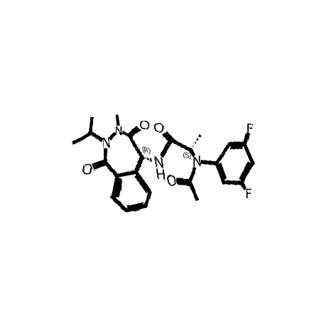 CC(=O)N(c1cc(F)cc(F)c1)[C@@H](C)C(=O)N[C@H]1C(=O)N(C)N(C(C)C)C(=O)c2ccccc21